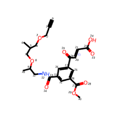 C#CCOCC(C)COC(C)CNC(=O)c1cc(C(=O)/C=C/C(=O)O)cc(C(=O)OC)c1